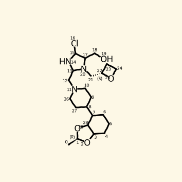 C[C@@H]1OC2CCCC(C3CCN(CC4NC(Cl)C(CO)N4C[C@@H]4CCO4)CC3)C2O1